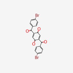 O=C1C=C(C(=O)c2ccc(Br)cc2)C(=O)C=C1C(=O)c1ccc(Br)cc1